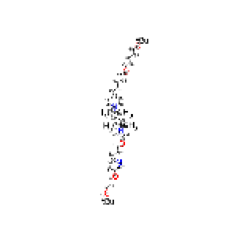 CC(C)(C)COCCCOc1ccc(CCCOC2CN(C(C)(C)CCC(C)(C)N3CCC(CCCCCOCCCCCOC(C)(C)C)CC3)C2)nc1